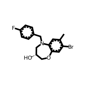 Cc1cc2c(cc1Br)OC[C@H](O)CN2Cc1ccc(F)cc1